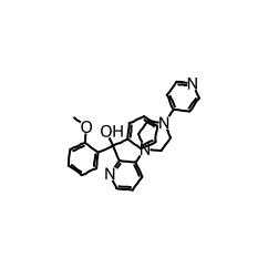 COc1ccccc1C(O)(c1ccccc1)c1ncccc1N1CCN(c2ccncc2)CC1